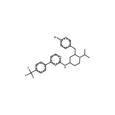 CC(C)N1CCC(Nc2nccc(-c3ccc(C(F)(F)F)cc3)n2)CC1Cc1ccc(Br)nc1